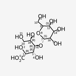 O=C(O)[C@H](O)[C@@H](O)[C@H](O[C@@H]1OC(CO)[C@@H](O)C(O)C1O)[C@H](O)CO